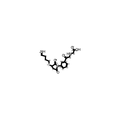 N=CCCCSC1CC(=O)N(c2cccc(C(=O)CNCC(=O)O)c2)C1=O